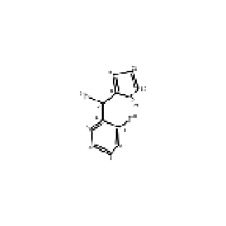 Fc1ccccc1C(F)c1cccs1